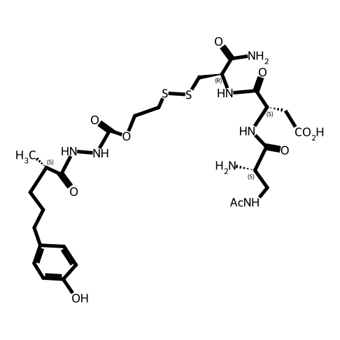 CC(=O)NC[C@H](N)C(=O)N[C@@H](CC(=O)O)C(=O)N[C@@H](CSSCCOC(=O)NNC(=O)[C@@H](C)CCCc1ccc(O)cc1)C(N)=O